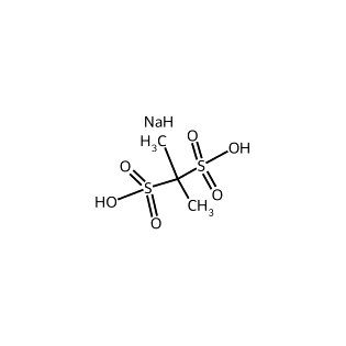 CC(C)(S(=O)(=O)O)S(=O)(=O)O.[NaH]